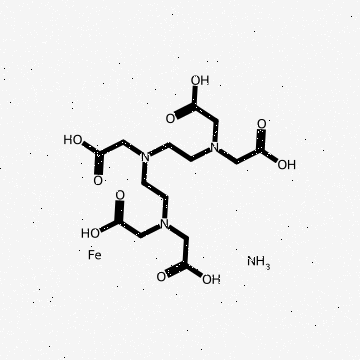 N.O=C(O)CN(CCN(CC(=O)O)CC(=O)O)CCN(CC(=O)O)CC(=O)O.[Fe]